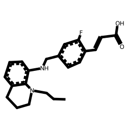 CCCN1CCCc2cccc(NCc3ccc(/C=C/C(=O)O)c(F)c3)c21